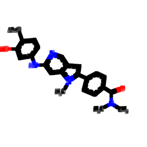 COc1ccc(Nc2cc3c(cn2)cc(-c2ccc(C(=O)N(C)C)cc2)n3C)cc1O